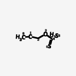 CCCO[SH](=S)=S